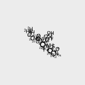 O=C(O)C(F)(F)F.[2H]C([2H])([2H])O[C@@H]1CCN(S(=O)(=O)Nc2ccc(F)c(Nc3ccc4ncn(C)c(=O)c4c3F)c2Cl)C1